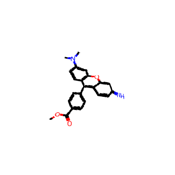 COC(=O)c1ccc(-c2c3ccc(=N)cc-3oc3cc(N(C)C)ccc23)cc1